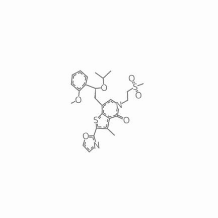 COc1ccccc1[C@H](Cc1cn(CCS(C)(=O)=O)c(=O)c2c(C)c(-c3ncco3)sc12)OC(C)C